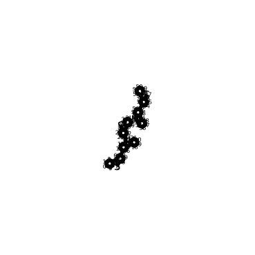 c1ccc2c(c1)sc1ccc(-c3ccc4c(c3)c3ccccc3n4-c3ccc4sc5ccc(-n6c7ccccc7c7cc(-c8ccc9sc%10ccccc%10c9c8)ccc76)cc5c4c3)cc12